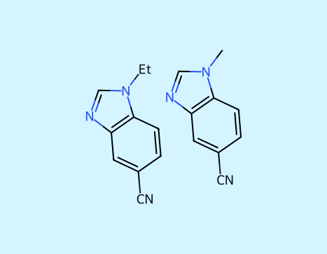 CCn1cnc2cc(C#N)ccc21.Cn1cnc2cc(C#N)ccc21